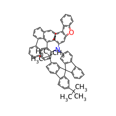 CC(C)(C)c1ccc2c(c1)C1(c3ccccc3-c3ccc(N(c4ccc5c(c4)oc4ccccc45)c4ccccc4-c4cccc5cccc(-c6ccccc6)c45)cc31)c1cc(C(C)(C)C)ccc1-2